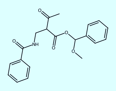 COC(OC(=O)C(CNC(=O)c1ccccc1)C(C)=O)c1ccccc1